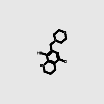 Oc1c(CN2CCOCC2)cc(Cl)c2c1NCCC2